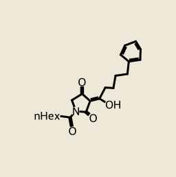 CCCCCCC(=O)N1CC(=O)/C(=C(/O)CCCCc2ccccc2)C1=O